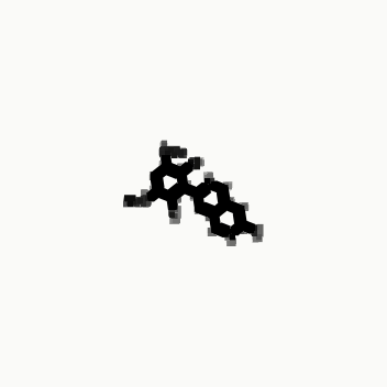 COc1cc(OC)c(Cl)c(-c2cc3cnc(Cl)cc3cn2)c1Cl